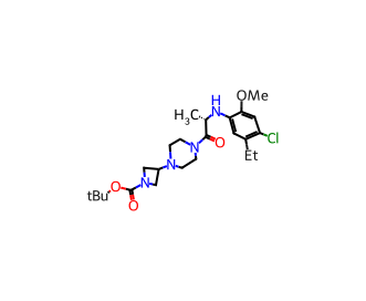 CCc1cc(N[C@@H](C)C(=O)N2CCN(C3CN(C(=O)OC(C)(C)C)C3)CC2)c(OC)cc1Cl